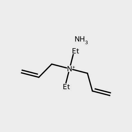 C=CC[N+](CC)(CC)CC=C.N